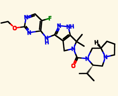 CCOc1ncc(F)c(Nc2n[nH]c3c2CN(C(=O)N2C[C@@H]4CCCN4C[C@@H]2C(C)C)C3(C)C)n1